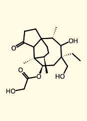 CC[C@]1(CO)C[C@@H](OC(=O)CO)[C@@]2(C)C3C(=O)CCC3(CC[C@H]2C)[C@H](C)C1O